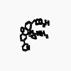 NC1=N[C@]2(CO1)c1cc(CC(=O)O)ccc1Oc1ccc(-c3cccnc3)cc12